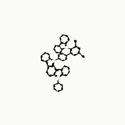 N#Cc1cc(C#N)c(-n2c3ccccc3c3ccccc32)c(-c2ccc(-n3c4ccccc4c4ccc5c(c6ccccc6n5-c5ccccc5)c43)cc2)c1